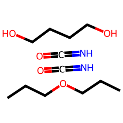 CCCOCCC.N=C=O.N=C=O.OCCCCO